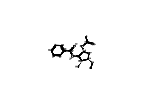 CC[C@H]1S[C@@H](OC(C)=O)C(OC(=O)c2ccccc2)[C@H]1F